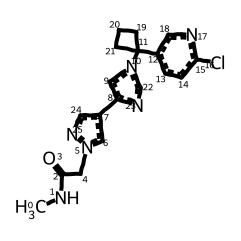 CNC(=O)Cn1cc(-c2cn(C3(c4ccc(Cl)nc4)CCC3)cn2)cn1